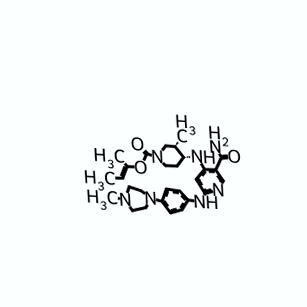 C/C=C(\C)OC(=O)N1CC[C@@H](Nc2cc(Nc3ccc(N4CCN(C)CC4)cc3)ncc2C(N)=O)[C@@H](C)C1